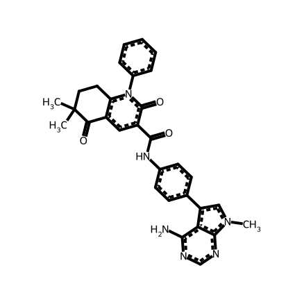 Cn1cc(-c2ccc(NC(=O)c3cc4c(n(-c5ccccc5)c3=O)CCC(C)(C)C4=O)cc2)c2c(N)ncnc21